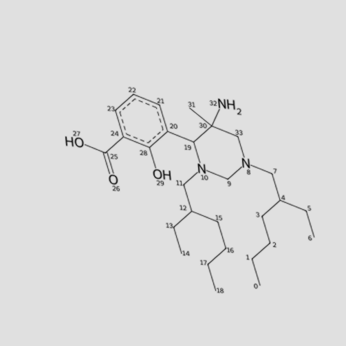 CCCCC(CC)CN1CN(CC(CC)CCCC)C(c2cccc(C(=O)O)c2O)C(C)(N)C1